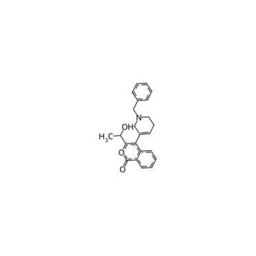 CC(O)c1oc(=O)c2ccccc2c1C1=CCCN(Cc2ccccc2)C1